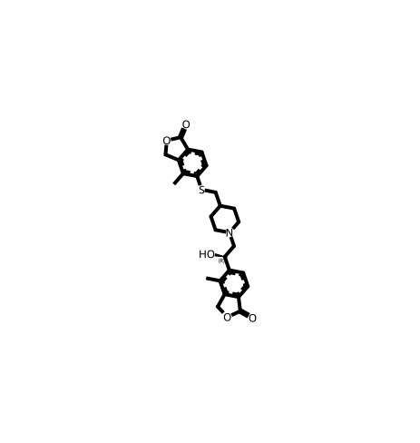 Cc1c(SCC2CCN(C[C@H](O)c3ccc4c(c3C)COC4=O)CC2)ccc2c1COC2=O